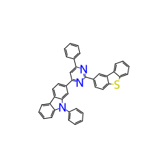 c1ccc(-c2cc(-c3ccc4c5ccccc5n(-c5ccccc5)c4c3)nc(-c3ccc4sc5ccccc5c4c3)n2)cc1